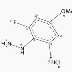 COc1cc(F)c(NN)c(F)c1.Cl